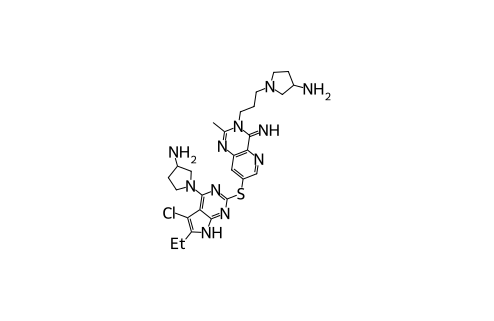 CCc1[nH]c2nc(Sc3cnc4c(=N)n(CCCN5CCC(N)C5)c(C)nc4c3)nc(N3CCC(N)C3)c2c1Cl